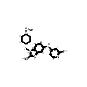 CO[C@H]1CC[C@H](Cn2c(C(C)(C)C)nc3cc(Sc4ccnc(F)c4)ccc32)CC1